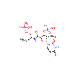 CCP(=O)(O)OC1C(C(=O)N[C@H](COP(=O)(O)O)C(=O)O)OC(n2ccc(=O)[nH]c2=O)C1OC